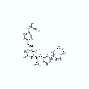 C=C/N=C(\C(F)=C(\NCc1ccc(CC(=C)N)cc1)C(C)CC)N(Cc1cccc(C2=C/CCC/C=C/C=C\2)c1)C1CC1